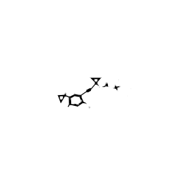 COc1cc(Cl)c(C2(C)CC2)cc1C#CC1(NC(=O)OC(C)(C)C)CC1